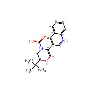 CC(C)(C)C1CN(C(=O)O)C(c2cnc3ccccc3c2)=CO1